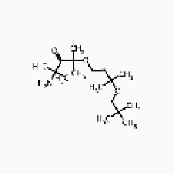 CC(C)(C)COC(C)(C)CCOC(C)(C)C(=O)C(C)(C)N